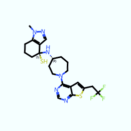 Cn1ncc2c1CCC[C@@]2(S)N[C@@H]1CCCN(c2ncnc3sc(CC(F)(F)F)cc23)CC1